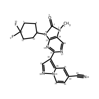 Cn1c(=O)n(C2CCC(F)(F)CC2)c2nc(-c3cnn4ccc(C#N)cc34)ncc21